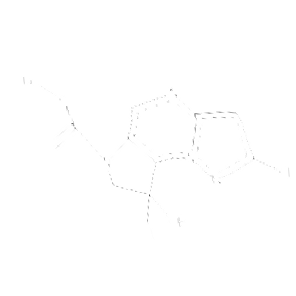 Cc1cc2ncc3c(n2n1)C(C)(C(F)(F)F)CN3C(=O)OC(C)(C)C